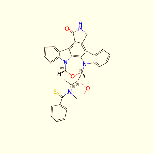 CO[C@@H]1[C@H](N(C)C(=S)c2ccccc2)C[C@H]2O[C@]1(C)n1c3ccccc3c3c4c(c5c6ccccc6n2c5c31)C(=O)NC4